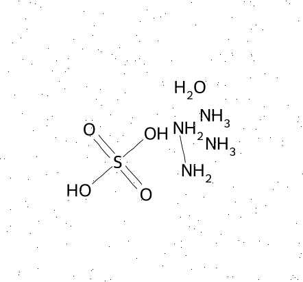 N.N.NN.O.O=S(=O)(O)O